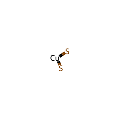 [CH3][Cu](=[S])=[S]